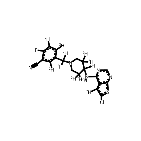 [2H]c1c([2H])c(C([2H])([2H])N2CC([2H])([2H])C([2H])(N([2H])c3ncnc4sc(Cl)c([2H])c34)C([2H])([2H])C2)c([2H])c(C#N)c1F